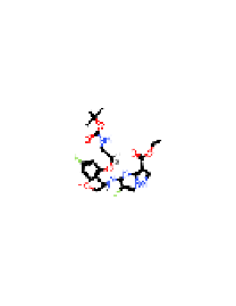 CCOC(=O)c1cnn2cc(F)c(N[C@@](C)(CO)c3ccc(F)cc3O[C@@H](C)CNC(=O)OC(C)(C)C)nc12